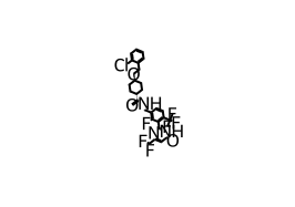 O=c1cc(C(F)F)nc(-c2c(C(F)(F)F)ccc(CNC(=O)[C@H]3CC[C@H](OCc4ccccc4Cl)CC3)c2F)[nH]1